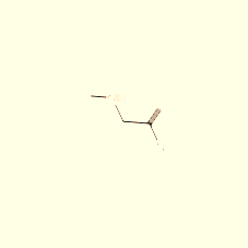 NC(=O)CNP